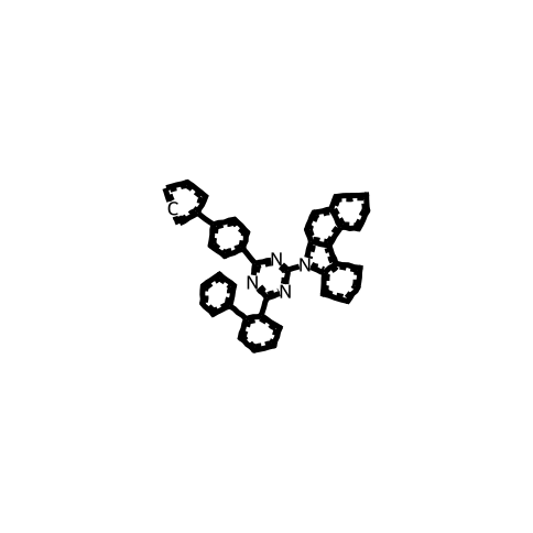 c1ccc(-c2ccc(-c3nc(-c4ccccc4-c4ccccc4)nc(-n4c5ccccc5c5c6ccccc6ccc54)n3)cc2)cc1